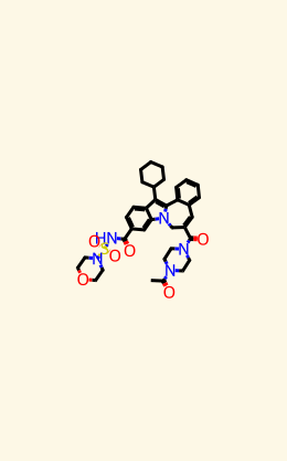 CC(=O)N1CCN(C(=O)C2=Cc3ccccc3-c3c(C4CCCCC4)c4ccc(C(=O)NS(=O)(=O)N5CCOCC5)cc4n3C2)CC1